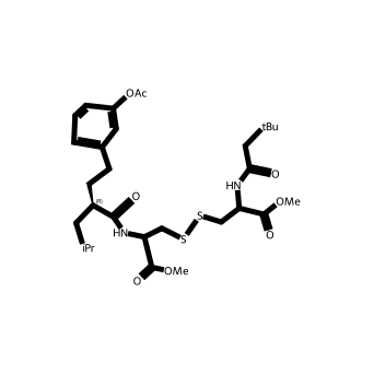 COC(=O)C(CSSCC(NC(=O)[C@H](CCc1cccc(OC(C)=O)c1)CC(C)C)C(=O)OC)NC(=O)CC(C)(C)C